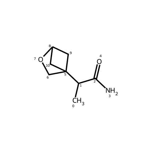 CC(C(N)=O)C12COC(C1)C2